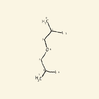 CC(I)COCC(C)I